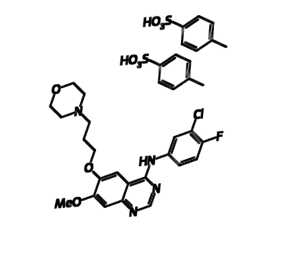 COc1cc2ncnc(Nc3ccc(F)c(Cl)c3)c2cc1OCCCN1CCOCC1.Cc1ccc(S(=O)(=O)O)cc1.Cc1ccc(S(=O)(=O)O)cc1